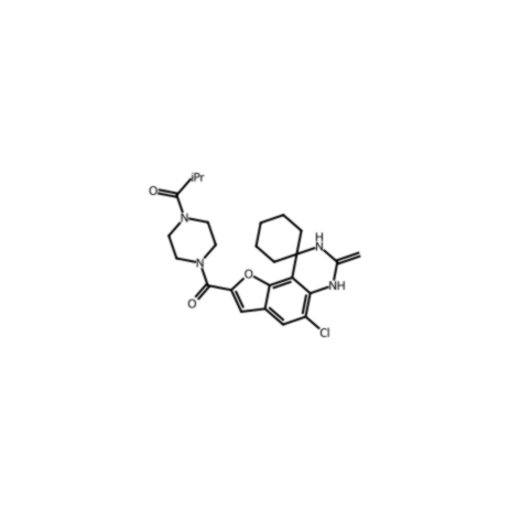 C=C1Nc2c(Cl)cc3cc(C(=O)N4CCN(C(=O)C(C)C)CC4)oc3c2C2(CCCCC2)N1